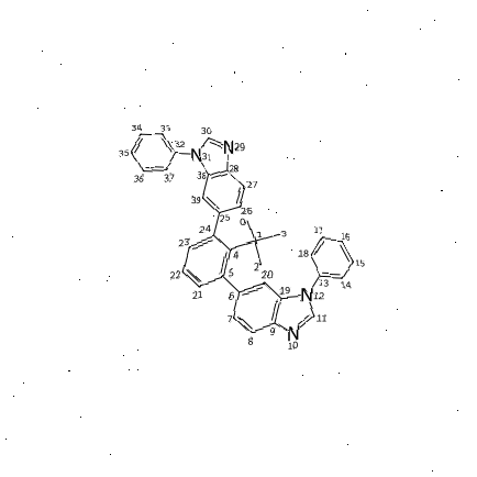 CC(C)(C)c1c(-c2ccc3ncn(-c4ccccc4)c3c2)cccc1-c1ccc2ncn(-c3ccccc3)c2c1